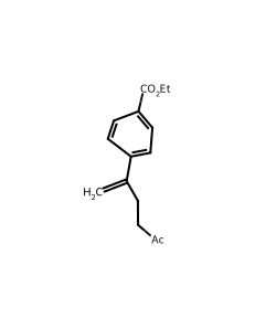 C=C(CCC(C)=O)c1ccc(C(=O)OCC)cc1